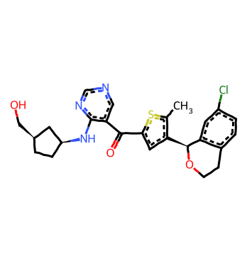 Cc1sc(C(=O)c2cncnc2N[C@H]2CC[C@@H](CO)C2)cc1[C@@H]1OCCc2ccc(Cl)cc21